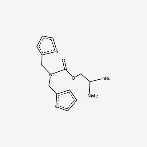 CCCCC(COC(=O)N(Cc1cccs1)Cc1cccs1)NC